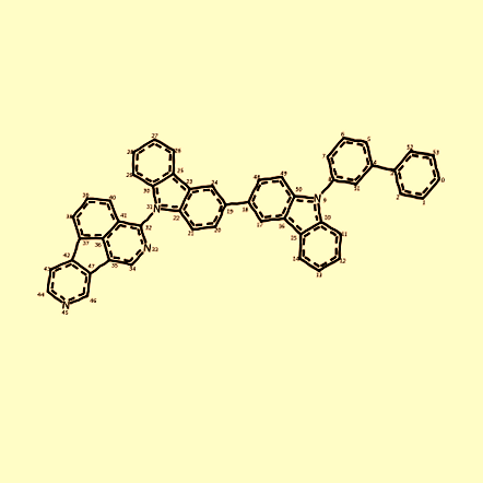 c1ccc(-c2cccc(-n3c4ccccc4c4cc(-c5ccc6c(c5)c5ccccc5n6-c5ncc6c7c(cccc57)-c5ccncc5-6)ccc43)c2)cc1